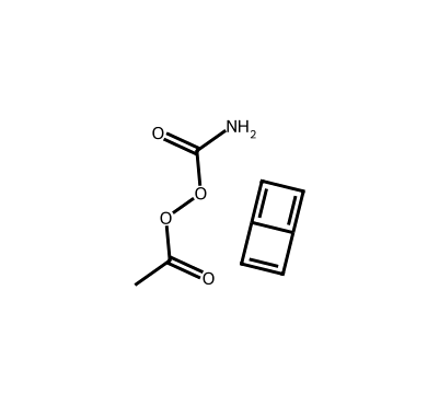 CC(=O)OOC(N)=O.c1cc2ccc1-2